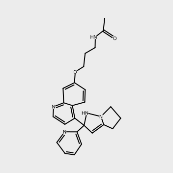 CC(=O)NCCCOc1ccc2c(C3(c4ccccn4)C=C4CCCN4N3)ccnc2c1